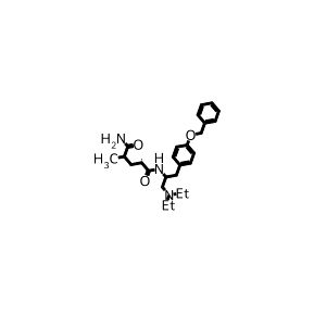 CCN(CC)CC(Cc1ccc(OCc2ccccc2)cc1)NC(=O)[CH]CC(C)C(N)=O